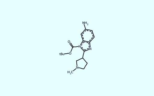 CN1CCC(c2nc3ccc(N)cc3n2C(=O)OC(C)(C)C)C1